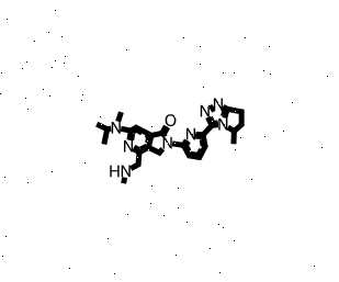 CNCc1nc(N(C)C(C)C)cc2c1CN(c1cccc(-c3nnc4n3C(C)CC4)n1)C2=O